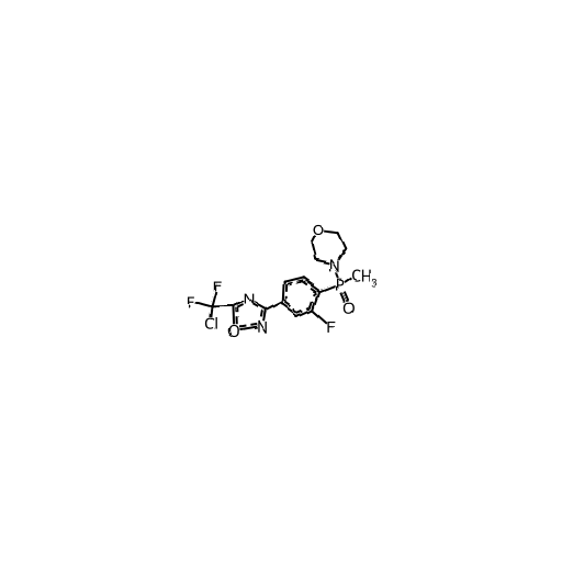 CP(=O)(c1ccc(-c2noc(C(F)(F)Cl)n2)cc1F)N1CCOCC1